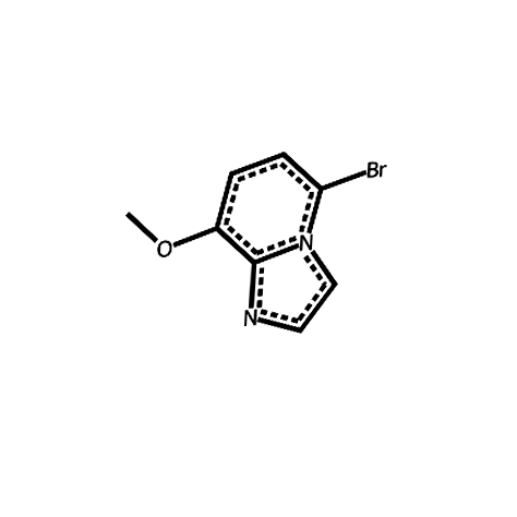 COc1ccc(Br)n2ccnc12